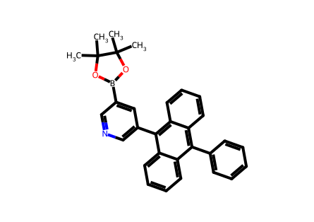 CC1(C)OB(c2cncc(-c3c4ccccc4c(-c4ccccc4)c4ccccc34)c2)OC1(C)C